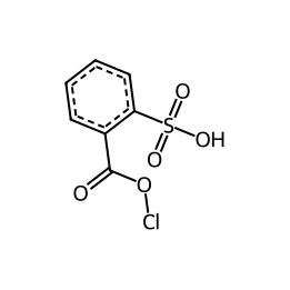 O=C(OCl)c1ccccc1S(=O)(=O)O